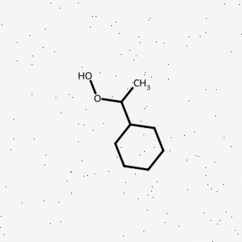 CC(OO)C1CCCCC1